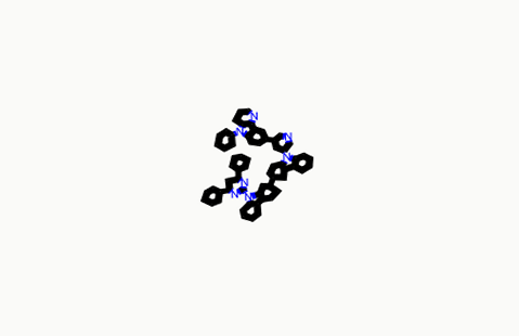 c1ccc(-c2cc(-c3ccccc3)nc(-n3c4ccccc4c4ccc(-c5ccc6c(c5)c5ccccc5n6-c5cncc(-c6ccc7c(c6)c6ncccc6n7-c6ccccc6)c5)cc43)n2)cc1